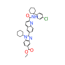 CCOC(=O)c1ccc2c(c1)nc(-c1ccc3nc(C(=O)NC4(c5ccc(Cl)cc5)CCCCC4)ccc3c1)n2C1CCCCC1